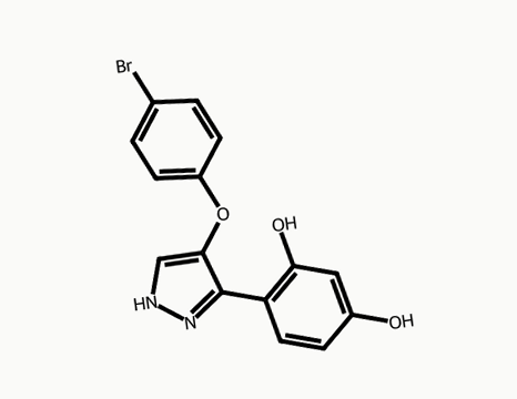 Oc1ccc(-c2n[nH]cc2Oc2ccc(Br)cc2)c(O)c1